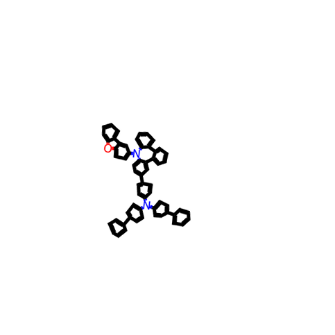 c1ccc(-c2ccc(N(c3ccc(-c4ccccc4)cc3)c3ccc(-c4ccc5c(c4)-c4ccccc4-c4ccccc4N5c4ccc5oc6ccccc6c5c4)cc3)cc2)cc1